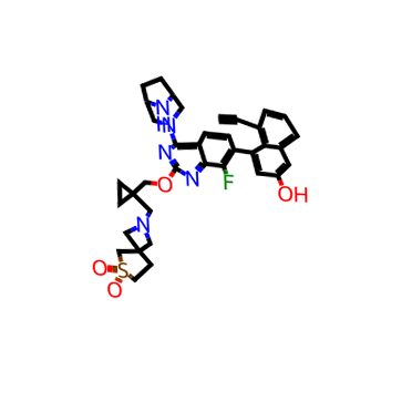 C#Cc1cccc2cc(O)cc(-c3ccc4c(N5CC6CCC(C5)N6)nc(OCC5(CN6CC7(CCS(=O)(=O)C7)C6)CC5)nc4c3F)c12